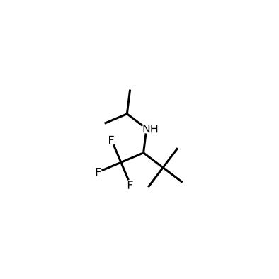 CC(C)NC(C(C)(C)C)C(F)(F)F